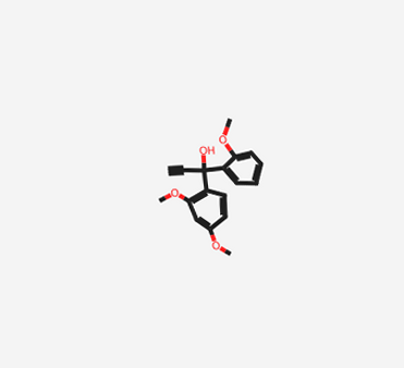 C#CC(O)(c1ccccc1OC)c1ccc(OC)cc1OC